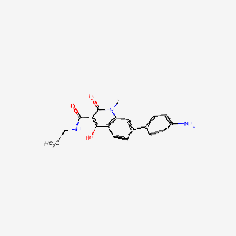 Cn1c(=O)c(C(=O)NCC(=O)O)c(O)c2ccc(-c3ccc(N)cc3)cc21